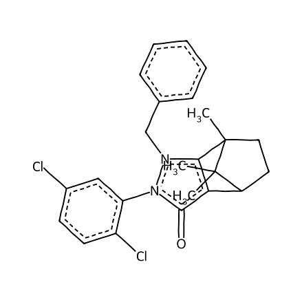 CC12CCC(c3c1n(Cc1ccccc1)n(-c1cc(Cl)ccc1Cl)c3=O)C2(C)C